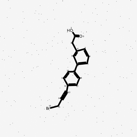 O=C(O)Cc1cccc(-c2ccc(C#CCBr)cc2)c1